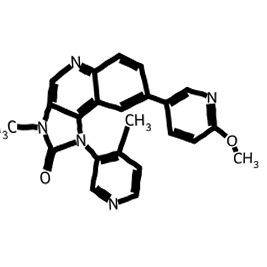 COc1ccc(-c2ccc3ncc4c(c3c2)n(-c2cnccc2C)c(=O)n4C)cn1